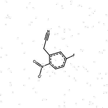 N#CCc1cc(F)ccc1[N+](=O)[O-]